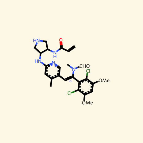 C=CC(=O)NC1CNCC1Nc1cc(C)c(/C=C(/c2c(Cl)c(OC)cc(OC)c2Cl)N(C)C=O)cn1